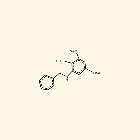 COc1cc(NCc2ccccc2)c(C(=O)O)c(OC)c1